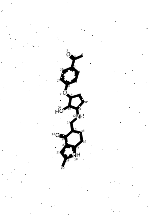 CC(=O)c1ccc(OC2CCC(NCC3CCc4[nH]c(C)cc4C3=O)C2O)cc1